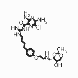 C[C@@H]1OC[C@@H](O)[C@H](CNCCOc2ccc(CCCCNC(=N)NC(=O)c3nc(Cl)c(N)nc3N)cc2)O1